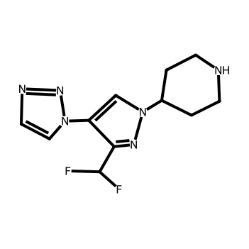 FC(F)c1nn(C2CCNCC2)cc1-n1ccnn1